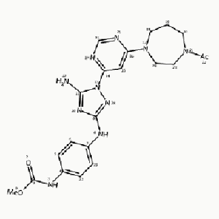 COC(=O)Nc1ccc(Nc2nc(N)n(-c3cc(N4CCCN(C(C)=O)CC4)ncn3)n2)cc1